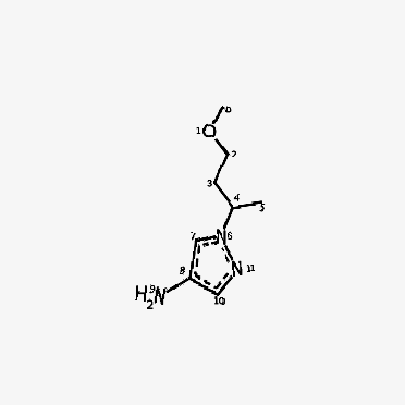 COCCC(C)n1cc(N)cn1